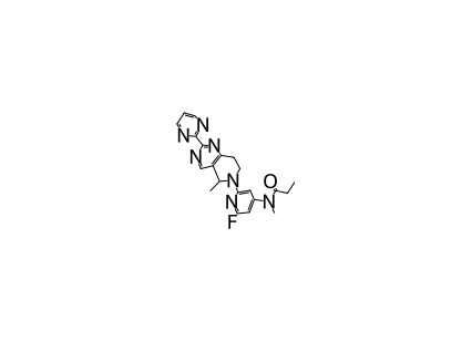 CCC(=O)N(C)c1cc(F)nc(N2CCc3nc(-c4ncccn4)ncc3C2C)c1